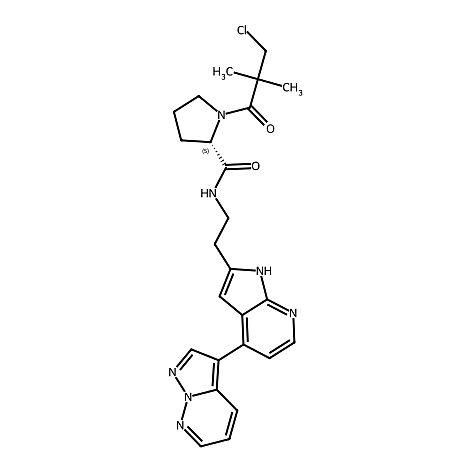 CC(C)(CCl)C(=O)N1CCC[C@H]1C(=O)NCCc1cc2c(-c3cnn4ncccc34)ccnc2[nH]1